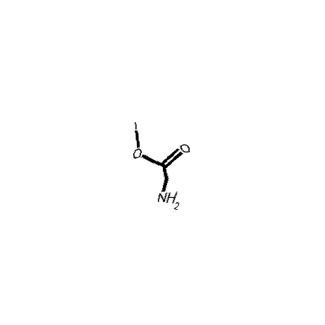 NC(=O)OI